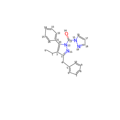 CCc1c(Cc2ccccc2)nn(C(=O)n2cccn2)c1-c1ccccc1